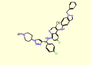 CC(C)(C)N1CCC(n2cc([C@@H](Nc3cc(Cl)cc4c(Nc5ccc6c(cnn6Cc6ccccc6)c5)c(C#N)cnc34)c3ccc(Cl)cc3)nn2)CC1